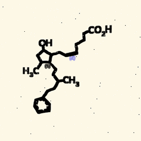 CC(CCc1ccccc1)CC[C@H]1C(C)CC(O)C1C/C=C\CCCC(=O)O